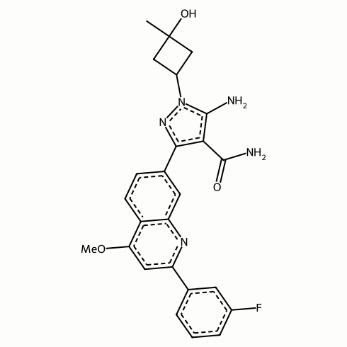 COc1cc(-c2cccc(F)c2)nc2cc(-c3nn(C4CC(C)(O)C4)c(N)c3C(N)=O)ccc12